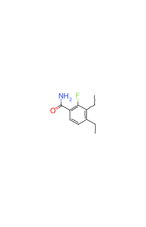 CCc1ccc(C(N)=O)c(F)c1CC